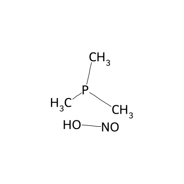 CP(C)C.O=NO